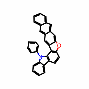 c1ccc(-n2c3ccccc3c3ccc4oc5cc6cc7ccccc7cc6cc5c4c32)cc1